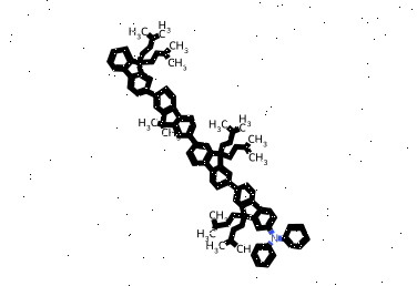 CC(C)CCC1(CCC(C)C)c2ccccc2-c2ccc(-c3ccc4c(c3)C(C)(C)c3cc(-c5ccc6c(c5)C(CCC(C)C)(CCC(C)C)c5cc(-c7ccc8c(c7)C(CCC(C)C)(CCC(C)C)c7cc(N(c9ccccc9)c9ccccc9)ccc7-8)ccc5-6)ccc3-4)cc21